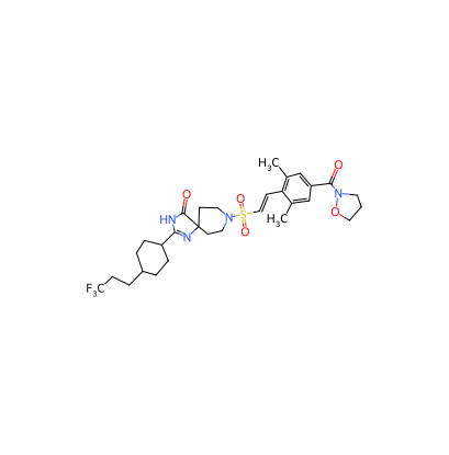 Cc1cc(C(=O)N2CCCO2)cc(C)c1C=CS(=O)(=O)N1CCC2(CC1)N=C(C1CCC(CCC(F)(F)F)CC1)NC2=O